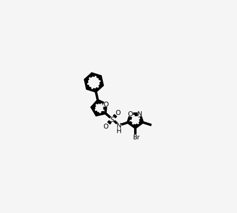 Cc1noc(NS(=O)(=O)c2ccc(-c3ccccc3)o2)c1Br